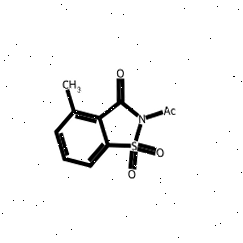 CC(=O)N1C(=O)c2c(C)cccc2S1(=O)=O